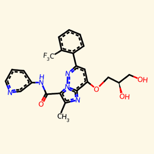 Cc1nc2c(OC[C@H](O)CO)cc(-c3ccccc3C(F)(F)F)nn2c1C(=O)Nc1cccnc1